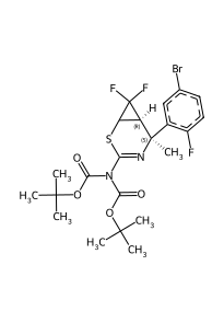 CC(C)(C)OC(=O)N(C(=O)OC(C)(C)C)C1=N[C@](C)(c2cc(Br)ccc2F)[C@H]2C(S1)C2(F)F